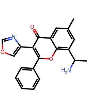 Cc1cc(C(C)N)c2oc(-c3ccccc3)c(-c3cocn3)c(=O)c2c1